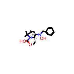 CC[C@H]([C@H](CC)N(C(=O)O)C(C)(C)C)N(O)Cc1ccccc1